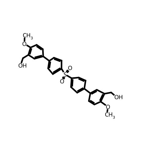 COc1ccc(-c2ccc(S(=O)(=O)c3ccc(-c4ccc(OC)c(CO)c4)cc3)cc2)cc1CO